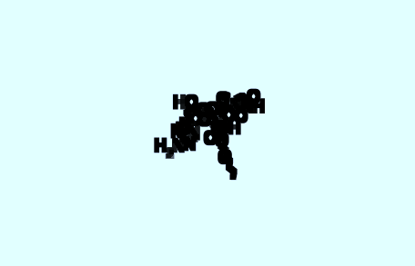 CCCCOCCOC(=O)OCSP(=O)(OC1C(OC)[C@H](n2ccc(=O)[nH]c2=O)O[C@@H]1CO)O[C@H]1O[C@@H](n2cnc3c(N)ncnc32)CC1O